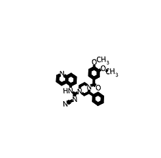 COc1ccc(C(=O)N2CCN(/C(=N/C#N)Nc3cccc4ncccc34)CC2c2ccccc2)cc1OC